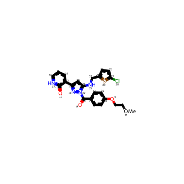 COCCOc1ccc(C(=O)n2nc(-c3ccc[nH]c3=O)cc2NCc2ccc(Cl)s2)cc1